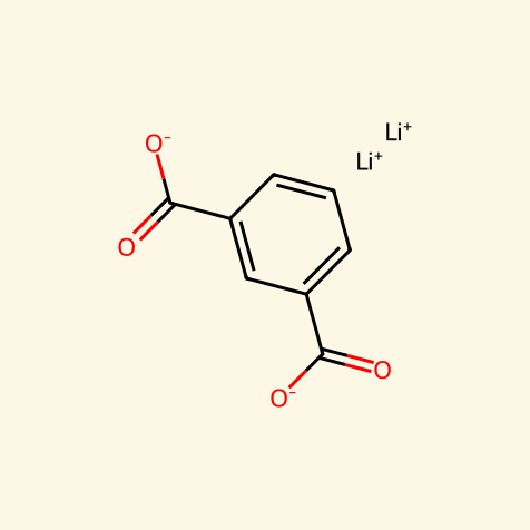 O=C([O-])c1cccc(C(=O)[O-])c1.[Li+].[Li+]